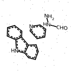 NNC=O.c1ccc2c(c1)[nH]c1ccccc12.c1ccncc1